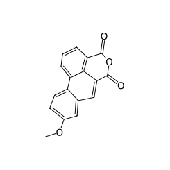 COc1ccc2c(c1)cc1c3c(cccc32)C(=O)OC1=O